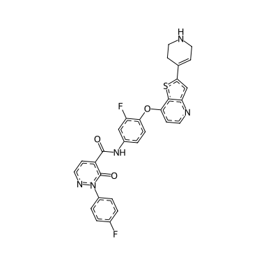 O=C(Nc1ccc(Oc2ccnc3cc(C4=CCNCC4)sc23)c(F)c1)c1ccnn(-c2ccc(F)cc2)c1=O